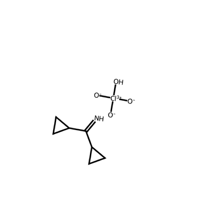 N=C(C1CC1)C1CC1.[O-][Cl+3]([O-])([O-])O